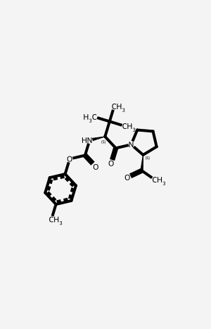 CC(=O)[C@@H]1CCCN1C(=O)[C@@H](NC(=O)Oc1ccc(C)cc1)C(C)(C)C